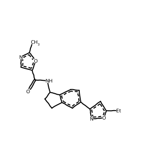 CCc1cc(-c2ccc3c(c2)CCC3NC(=O)c2cnc(C)o2)no1